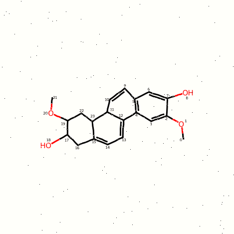 COc1cc2c(cc1O)C=CC1C2=CC=C2CC(O)C(OC)CC21